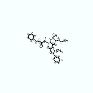 CC(C)CCC[C@@H](C)C[C@H](CNC(=O)OCc1ccccc1)C(=O)N1C(=O)O[C@H](c2ccccc2)[C@H]1C